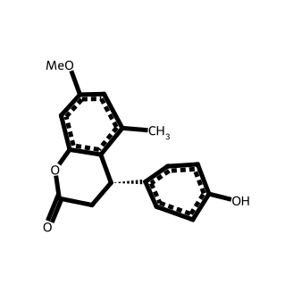 COc1cc(C)c2c(c1)OC(=O)C[C@H]2c1ccc(O)cc1